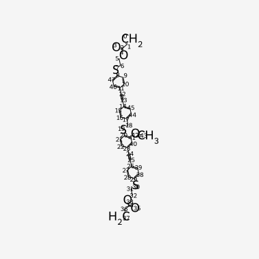 C=CC(=O)OCCSc1ccc(C#Cc2ccc(CSc3ccc(C#Cc4ccc(SCCOC(=O)C=C)cc4)cc3OC)cc2)cc1